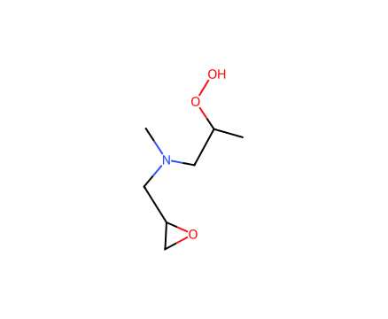 CC(CN(C)CC1CO1)OO